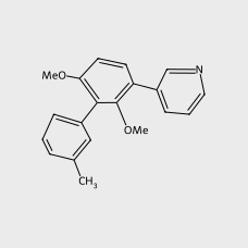 COc1ccc(-c2cccnc2)c(OC)c1-c1cccc(C)c1